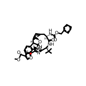 COC(=O)c1coc(-c2nc3oc2[C@@]24c5ccccc5N[C@@H]2Oc2ccc(cc24)C[C@H](NC(=O)OCc2ccccc2)C(=O)N[C@H]3C(C)(C)C)n1